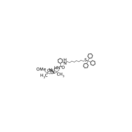 COCC(C)(C)COCC(C)(C)CNC(=O)c1ccccc1NCCCCCCCCSC(c1ccccc1)(c1ccccc1)c1ccccc1